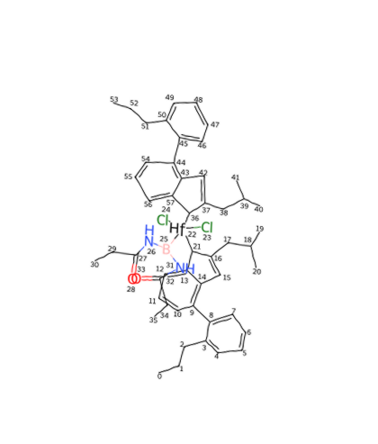 CCCc1ccccc1-c1cccc2c1C=C(CC(C)C)[CH]2[Hf]([Cl])([Cl])([B](NC(=O)CC)NC(=O)CC)[CH]1C(CC(C)C)=Cc2c(-c3ccccc3CCC)cccc21